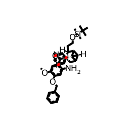 COc1cc(C(=O)N2CC3[C@H]4C([C@H]2CCO[Si](C)(C)C(C)(C)C)[C@]34c2cncnc2)c(N)cc1OCc1ccccc1